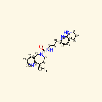 CC1CCN(C(=O)NCCCc2ccc3c(n2)NCCC3)Cc2cccnc21